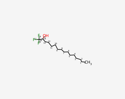 CCCCCCCCCCCCCCC(O)C(F)(F)F